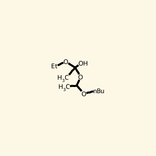 CCCCOC(C)OC(C)(O)OCC